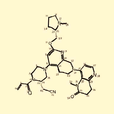 C=CC(=O)N1CCN(c2cc(OC[C@@H]3CCCN3C)nc3c2CCN(c2ccnc4c2N(C)C(=O)CC4)C3)C[C@@H]1CC#N